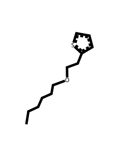 CCCCCCOCCc1cccs1